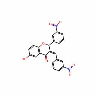 O=C1C(=Cc2cccc([N+](=O)[O-])c2)C(c2cccc([N+](=O)[O-])c2)Oc2ccc(O)cc21